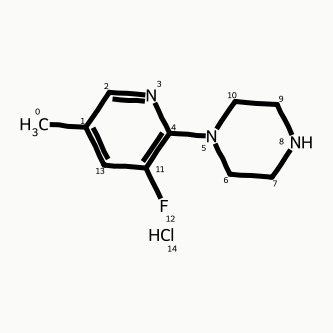 Cc1cnc(N2CCNCC2)c(F)c1.Cl